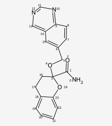 NC(=O)C1(OCc2ccc3ncncc3c2)CCc2ccccc2O1